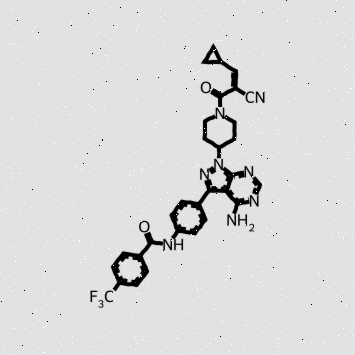 N#C/C(=C/C1CC1)C(=O)N1CCC(n2nc(-c3ccc(NC(=O)c4ccc(C(F)(F)F)cc4)cc3)c3c(N)ncnc32)CC1